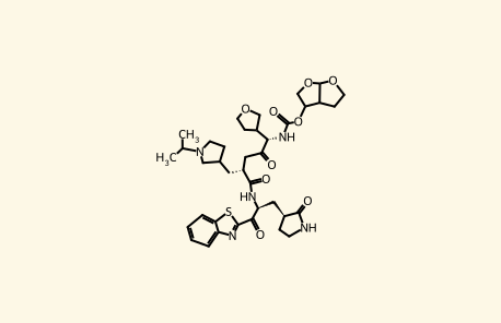 CC(C)N1CCC(C[C@H](CC(=O)[C@@H](NC(=O)OC2COC3OCCC23)C2CCOC2)C(=O)N[C@@H](C[C@@H]2CCNC2=O)C(=O)c2nc3ccccc3s2)C1